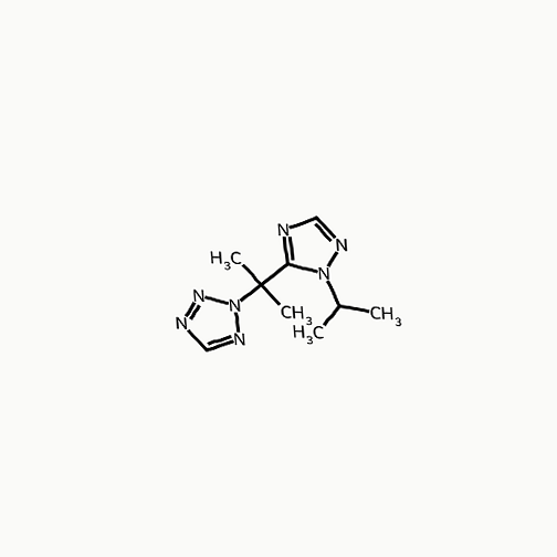 CC(C)n1ncnc1C(C)(C)n1ncnn1